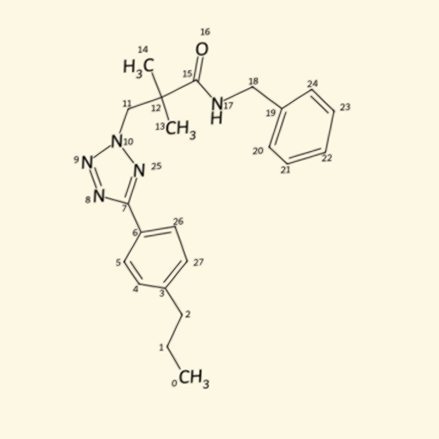 CCCc1ccc(-c2nnn(CC(C)(C)C(=O)NCc3ccccc3)n2)cc1